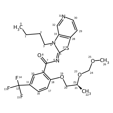 CCCCn1c(=NC(=O)c2cc(C(F)(F)F)ccc2OC[C@H](C)OCOC)sc2ccncc21